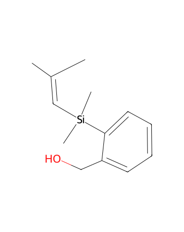 CC(C)=C[Si](C)(C)c1ccccc1CO